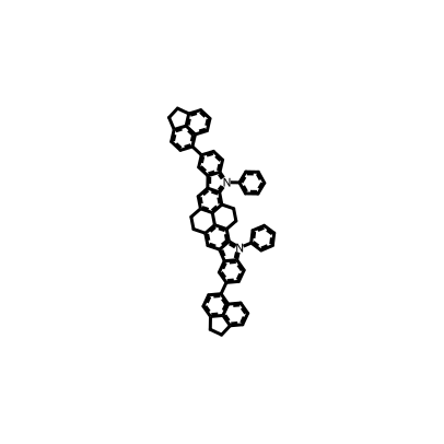 c1ccc(-n2c3ccc(-c4ccc5c6c(cccc46)CC5)cc3c3cc4c5c(c32)CCc2c-5c(cc3c5cc(-c6ccc7c8c(cccc68)CC7)ccc5n(-c5ccccc5)c23)CC4)cc1